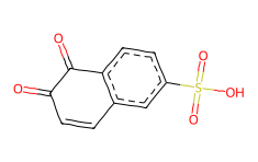 O=C1C=Cc2cc(S(=O)(=O)O)ccc2C1=O